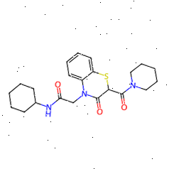 O=C(CN1C(=O)C(C(=O)N2CCCCC2)Sc2ccccc21)NC1CCCCC1